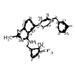 Cc1nc(NCc2cccc(C(F)(F)F)c2C)c2cc(P3CCN(Cc4ccccc4)CC3)ccc2n1